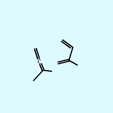 C=C=C(C)C.C=CC(=C)C